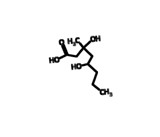 CCCC(O)CC(C)(O)CC(=O)O